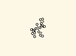 CC1(C)c2cc(-c3c4ccc(N(c5ccccc5)c5ccc6c(c5)C(C)(C)c5cccc7cccc-6c57)cc4c(-c4ccccc4)c4ccc(N(c5ccccc5)c5ccc6c7c(cccc57)-c5ccccc5-6)cc34)ccc2-c2ccc3ccccc3c21